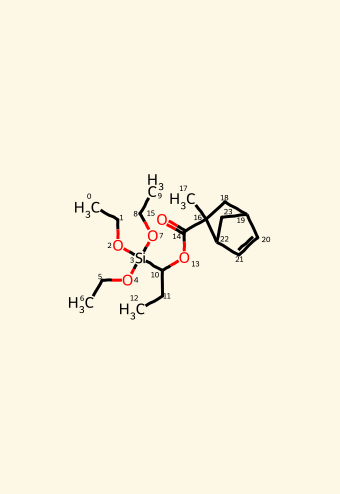 CCO[Si](OCC)(OCC)C(CC)OC(=O)C1(C)CC2C=CC1C2